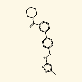 Cc1cc(NSc2ccc(-c3cccc(C(=O)N4CCCCC4)c3)cc2)no1